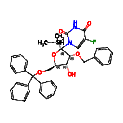 C[SiH](C)[C@@]1(n2cc(F)c(=O)[nH]c2=O)O[C@H](COC(c2ccccc2)(c2ccccc2)c2ccccc2)[C@@H](O)[C@H]1OCc1ccccc1